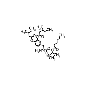 CCCCCC(=O)OC(C)[C@H](C)OC(=O)[C@@H](N)Cc1ccc(OC(=O)CC(C)CC)c(OC(=O)CC(C)CC)c1